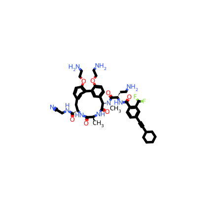 C[C@@H]1NC(=O)[C@@H](N(C)C(=O)[C@H](CCN)NC(=O)c2ccc(C#CC3CCCCC3)cc2C(F)F)c2ccc(OCCN)c(c2)-c2cc(ccc2OCCN)C[C@@H](C(=O)NCC#N)NC1=O